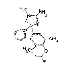 Cc1cc(C2(c3ccccc3)CN(C)C(N)=N2)cc(C)c1OC(F)F